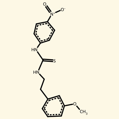 COc1cccc(CCNC(=S)Nc2ccc([N+](=O)[O-])cc2)c1